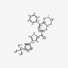 O=C(NCC1COCCN1C(=O)c1ccccc1)C1=CC(c2noc(C(F)(F)F)n2)=CC1